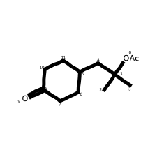 CC(=O)OC(C)(C)CC1CCC(=O)CC1